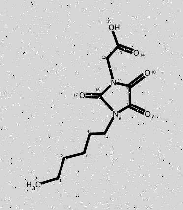 CCCCCCN1C(=O)C(=O)N(CC(=O)O)C1=O